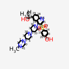 CN1CCN(C2CCN(C3CCN(c4c(S(=O)(=O)c5ccc(O)cc5)cnc5ccc([Si@@H](C)O)cc45)CC3)CC2)CC1